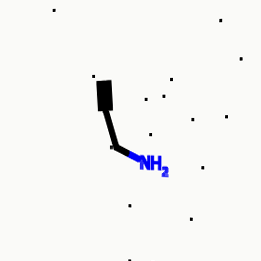 C#C[CH]N